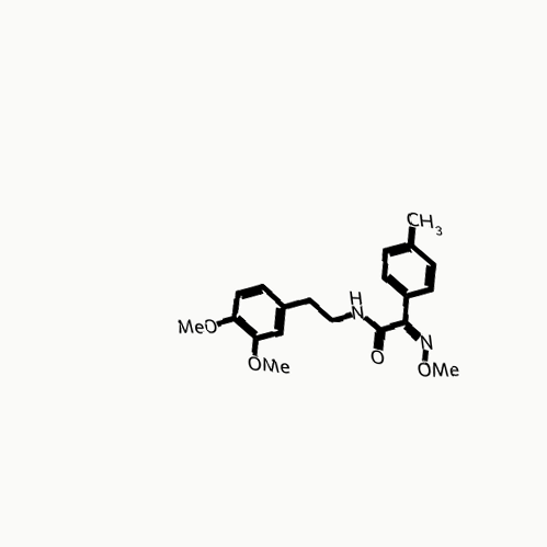 CO/N=C(\C(=O)NCCc1ccc(OC)c(OC)c1)c1ccc(C)cc1